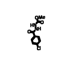 COC(=O)NNC(=O)c1ccc(Cl)cc1